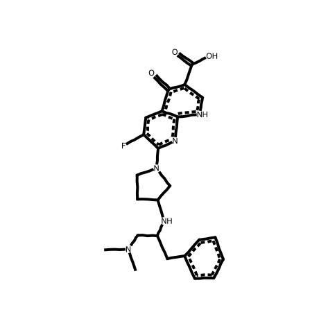 CN(C)CC(Cc1ccccc1)NC1CCN(c2nc3[nH]cc(C(=O)O)c(=O)c3cc2F)C1